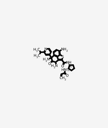 C=CC(=O)N[C@H]1CCC[C@H]1NC(=O)c1sc2c(N)ccc3c2c1C(N)C(=O)C3(N)c1ccnc(C(C)C)c1